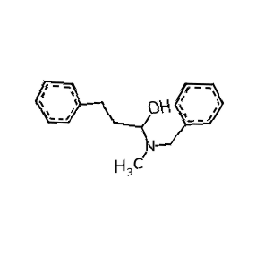 CN(Cc1ccccc1)C(O)CCc1ccccc1